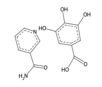 NC(=O)c1cccnc1.O=C(O)c1cc(O)c(O)c(O)c1